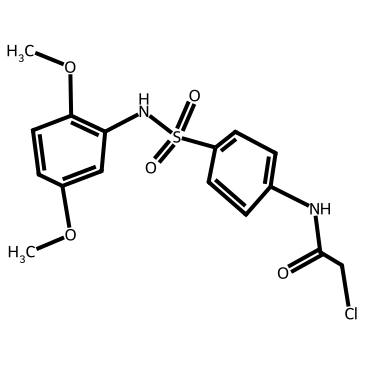 COc1ccc(OC)c(NS(=O)(=O)c2ccc(NC(=O)CCl)cc2)c1